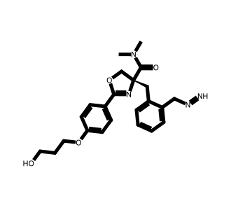 CN(C)C(=O)[C@@]1(Cc2ccccc2CN=N)COC(c2ccc(OCCCO)cc2)=N1